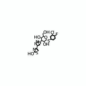 OCC1O[C@H](Sc2ccc(F)c(Cl)c2)[C@@H](O)C(n2cc(-c3csc(O)n3)nn2)[C@H]1O